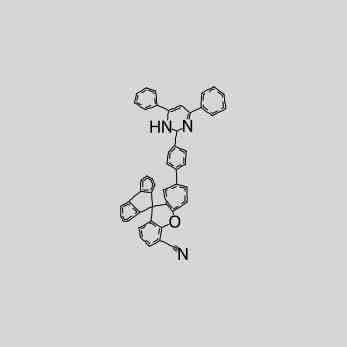 N#Cc1cccc2c1Oc1ccc(-c3ccc(C4N=C(c5ccccc5)C=C(c5ccccc5)N4)cc3)cc1C21c2ccccc2-c2ccccc21